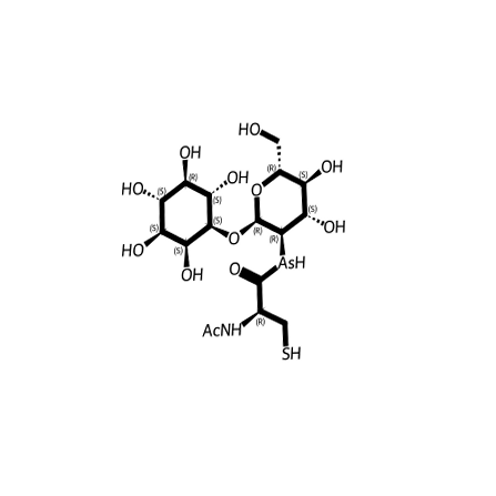 CC(=O)N[C@H](CS)C(=O)[AsH][C@H]1[C@@H](O[C@@H]2[C@@H](O)[C@H](O)[C@@H](O)[C@H](O)[C@@H]2O)O[C@H](CO)[C@@H](O)[C@@H]1O